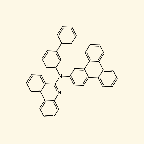 c1ccc(-c2cccc(N(c3ccc4c5ccccc5c5ccccc5c4c3)c3nc4ccccc4c4ccccc34)c2)cc1